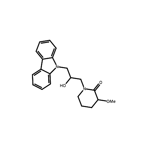 COC1CCCN(CC(O)Cn2c3ccccc3c3ccccc32)C1=O